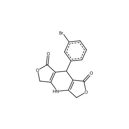 O=C1OCC2=C1C(c1cccc(Br)c1)C1=C(COC1=O)N2